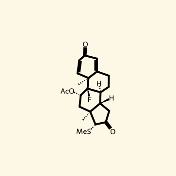 CS[C@H]1C(=O)C[C@H]2[C@@H]3CCC4=CC(=O)C=C[C@]4(C)[C@@]3(F)[C@@H](OC(C)=O)C[C@]12C